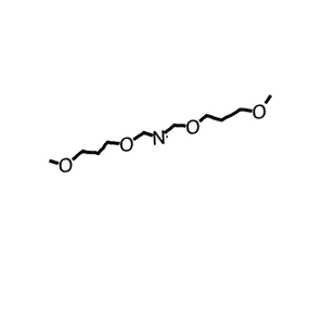 COCCCOC[N]COCCCOC